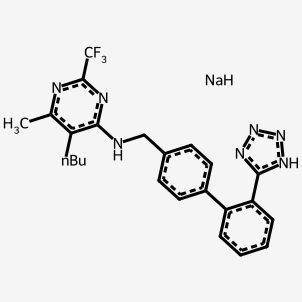 CCCCc1c(C)nc(C(F)(F)F)nc1NCc1ccc(-c2ccccc2-c2nnn[nH]2)cc1.[NaH]